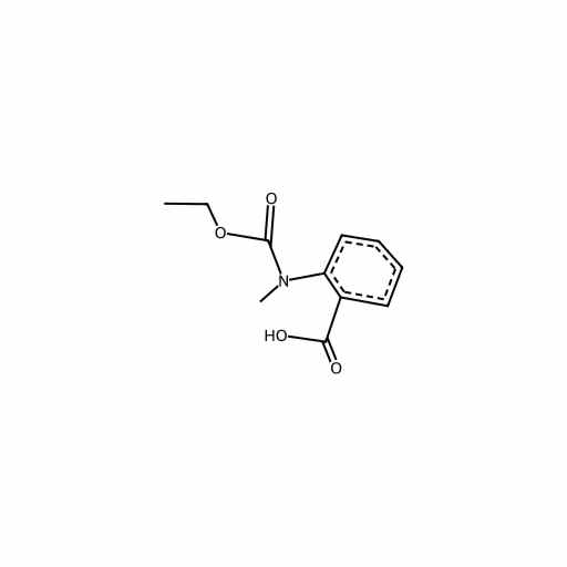 CCOC(=O)N(C)c1ccccc1C(=O)O